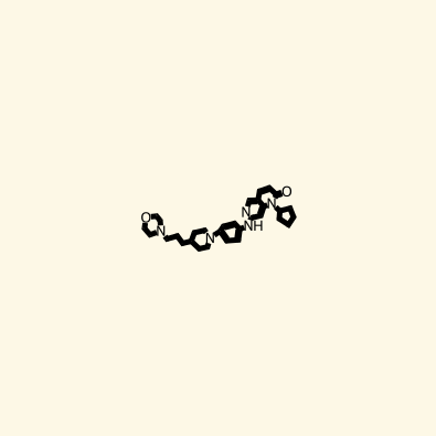 O=c1ccc2cnc(Nc3ccc(N4CCC(CCCN5CCOCC5)CC4)cc3)cc2n1C1CCCC1